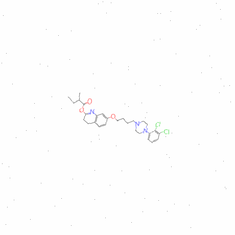 CCC(C)C(=O)OC1=Nc2cc(OCCCCN3CCN(c4cccc(Cl)c4Cl)CC3)ccc2CC1